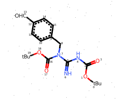 CC(C)(C)OC(=O)NC(=N)N(Cc1ccc([C]=O)cc1)C(=O)OC(C)(C)C